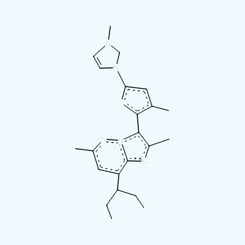 CCC(CC)c1cc(C)nn2c(-c3sc(N4C=CN(C)C4)cc3C)c(C)nc12